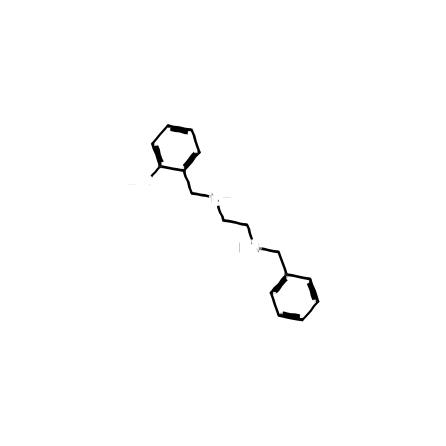 Oc1ccccc1CNCCNCc1ccccc1